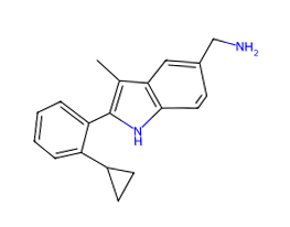 Cc1c(-c2ccccc2C2CC2)[nH]c2ccc(CN)cc12